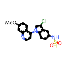 COc1ccc2c(-n3cc(Cl)c4cc(N[SH](=O)=O)ccc43)ccnc2c1